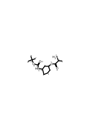 CC(N)C(=O)OC1CCCC(NC(=O)OC(C)(C)C)C1